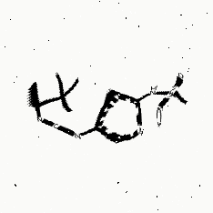 CC(N=C=Nc1ccc(NS(C)(=O)=O)nc1)C(C)(C)C